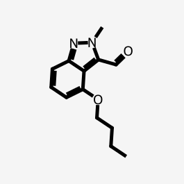 CCCCOc1cccc2nn(C)c(C=O)c12